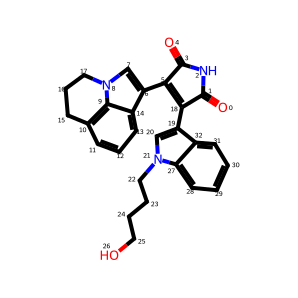 O=C1NC(=O)C(c2cn3c4c(cccc24)CCC3)=C1c1cn(CCCCO)c2ccccc12